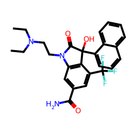 CCN(CC)CCN1C(=O)C(O)(c2cccc3ccccc23)c2c1cc(C(N)=O)cc2C(F)(F)F